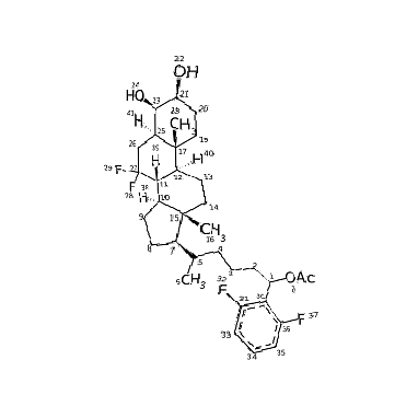 CC(=O)OC(CCCC(C)[C@H]1CC[C@H]2[C@H]3[C@H](CC[C@]12C)[C@@]1(C)CC[C@H](O)[C@H](O)[C@@H]1CC3(F)F)c1c(F)cccc1F